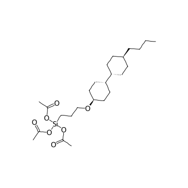 CCCC[C@H]1CC[C@H]([C@H]2CC[C@H](OCCC[Si](OC(C)=O)(OC(C)=O)OC(C)=O)CC2)CC1